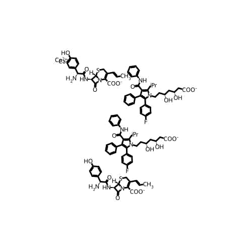 CC(C)c1c(C(=O)Nc2ccccc2)c(-c2ccccc2)c(-c2ccc(F)cc2)n1CC[C@@H](O)C[C@@H](O)CC(=O)[O-].CC(C)c1c(C(=O)Nc2ccccc2)c(-c2ccccc2)c(-c2ccc(F)cc2)n1CC[C@@H](O)C[C@@H](O)CC(=O)[O-].CC=CC1=C(C(=O)[O-])N2C(=O)[C@@H](NC(=O)[C@H](N)c3ccc(O)cc3)[C@@H]2SC1.CC=CC1=C(C(=O)[O-])N2C(=O)[C@@H](NC(=O)[C@H](N)c3ccc(O)cc3)[C@@H]2SC1.[Ca+2].[Ca+2]